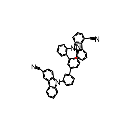 N#Cc1ccc2c(c1)c1ccccc1n2-c1cccc(-c2ccc(C#N)c(-c3ccccc3-n3c4ccccc4c4c(C#N)cccc43)c2)c1